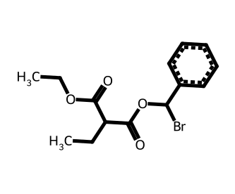 CCOC(=O)C(CC)C(=O)OC(Br)c1ccccc1